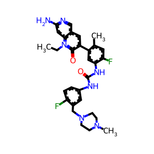 CCn1c(=O)c(-c2cc(NC(=O)Nc3ccc(F)c(CN4CCN(C)CC4)c3)c(F)cc2C)cc2cnc(N)cc21